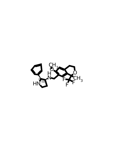 COc1cc2c(cc1CN[C@H]1CCN[C@H]1c1ccccc1)C(C)(C(F)(F)F)OCC2